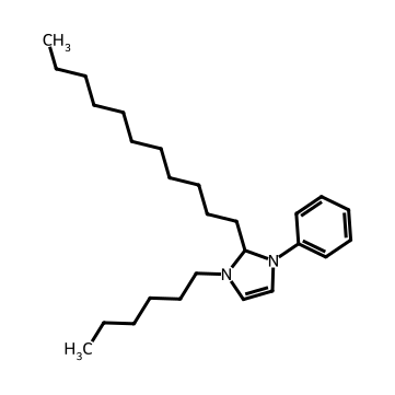 CCCCCCCCCCCC1N(CCCCCC)C=CN1c1ccccc1